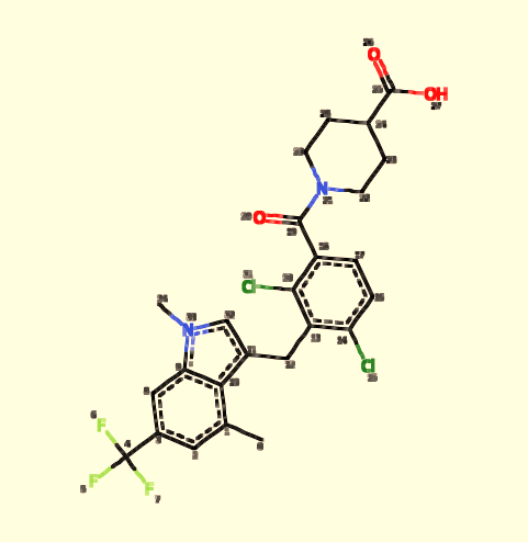 Cc1cc(C(F)(F)F)cc2c1c(Cc1c(Cl)ccc(C(=O)N3CCC(C(=O)O)CC3)c1Cl)cn2C